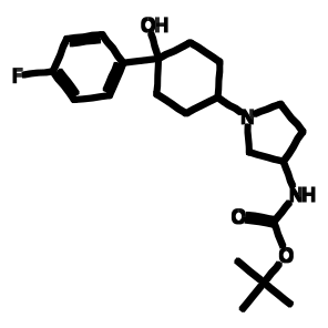 CC(C)(C)OC(=O)NC1CCN(C2CCC(O)(c3ccc(F)cc3)CC2)C1